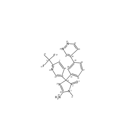 CN1C(=O)C(c2ccc(C(C)(F)F)nc2)(c2cccc(-c3ccnnc3)c2)N=C1N